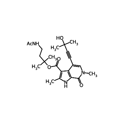 CC(=O)NCCC(C)(C)OC(=O)c1c(C)[nH]c2c(=O)n(C)cc(C#CC(C)(C)O)c12